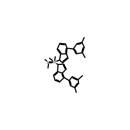 Cc1cc(C)cc(-c2cccc3c2C=C[CH]3[Hf]([CH3])([CH3])([CH]2C=Cc3c(-c4cc(C)cc(C)c4)cccc32)=[Si](C)C)c1